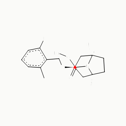 Cc1cccc(F)c1CO[C@H]1C[C@H]2CC[C@@H](C1)N2C(=O)OC(C)(C)C